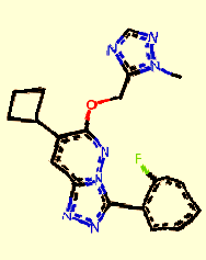 Cn1ncnc1COc1nn2c(-c3ccccc3F)nnc2cc1C1CCC1